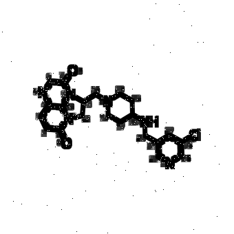 O=c1ccc2ncc(=O)n3c2n1CC3CN1CCC(NCc2cncc(Cl)c2)CC1